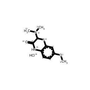 COc1ccc2c(c1)SC(N(C)C)C(=O)N2.Cl